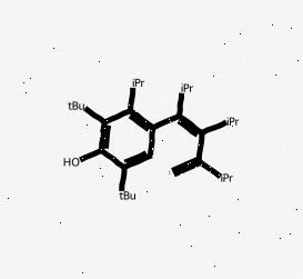 [C]=C(C(=C(c1cc(C(C)(C)C)c(O)c(C(C)(C)C)c1C(C)C)C(C)C)C(C)C)C(C)C